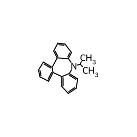 CC(C)N1c2ccccc2-c2ccccc2-c2ccccc21